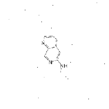 CNc1cc2cccnc2cn1